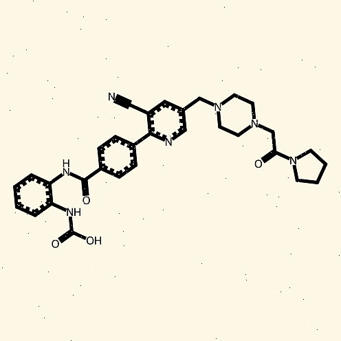 N#Cc1cc(CN2CCN(CC(=O)N3CCCC3)CC2)cnc1-c1ccc(C(=O)Nc2ccccc2NC(=O)O)cc1